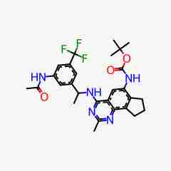 CC(=O)Nc1cc(C(C)Nc2nc(C)nc3c4c(c(NC(=O)OC(C)(C)C)cc23)CCC4)cc(C(F)(F)F)c1